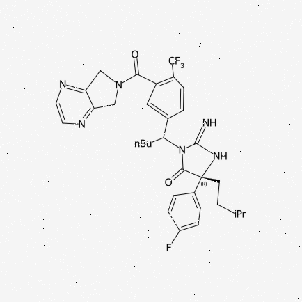 CCCCC(c1ccc(C(F)(F)F)c(C(=O)N2Cc3nccnc3C2)c1)N1C(=N)N[C@](CCC(C)C)(c2ccc(F)cc2)C1=O